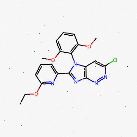 CCOc1cccc(-c2nc3nnc(Cl)cc3n2-c2c(OC)cccc2OC)n1